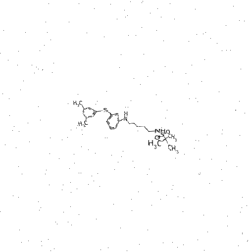 Cc1cc(C)cc(Sc2cccc(NCCCCCNS(=O)(=O)C(C)(C)C)c2)c1